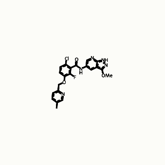 COc1n[nH]c2ncc(NC(=O)c3c(Cl)ccc(OCc4ccc(C)cn4)c3F)cc12